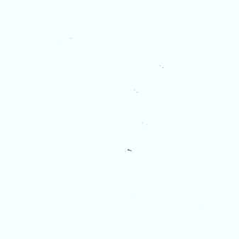 [2H]C([2H])([2H])Oc1cnc(F)c([C@@H](O)CNC(=O)c2cncc(-c3ccc(OC([2H])([2H])C([2H])([2H])[2H])cc3)n2)c1